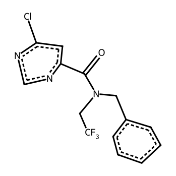 O=C(c1cc(Cl)ncn1)N(Cc1ccccc1)CC(F)(F)F